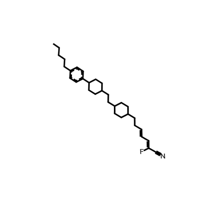 CCCCCc1ccc(C2CCC(CCC3CCC(CCC=CC=C(F)C#N)CC3)CC2)cc1